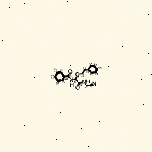 N#CCNC(=O)C(NC(=O)c1ccccc1)OCCc1ccccc1